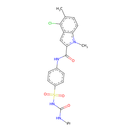 Cc1ccc2c(cc(C(=O)Nc3ccc(S(=O)(=O)NC(=O)NC(C)C)cc3)n2C)c1Cl